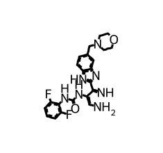 N=C(/C(=C\N)NC(=O)Nc1c(F)cccc1F)c1nc2cc(CN3CCOCC3)ccc2[nH]1